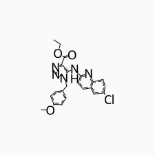 CCOC(=O)c1nnn(Cc2ccc(OC)cc2)c1Nc1ccc2cc(Cl)ccc2n1